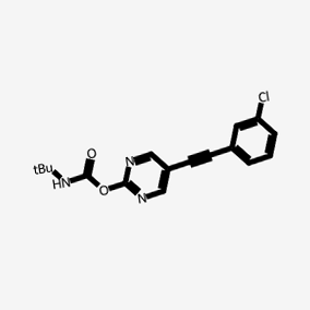 CC(C)(C)NC(=O)Oc1ncc(C#Cc2cccc(Cl)c2)cn1